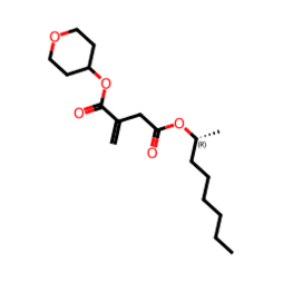 C=C(CC(=O)O[C@H](C)CCCCCC)C(=O)OC1CCOCC1